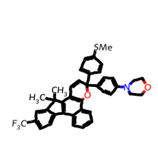 CSc1ccc(C2(c3ccc(N4CCOCC4)cc3)C=Cc3c4c(c5ccccc5c3O2)-c2ccc(C(F)(F)F)cc2C4(C)C)cc1